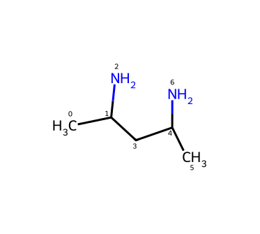 CC(N)CC(C)N